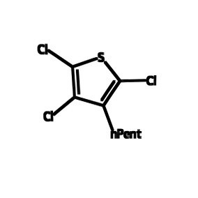 [CH2]CCCCc1c(Cl)sc(Cl)c1Cl